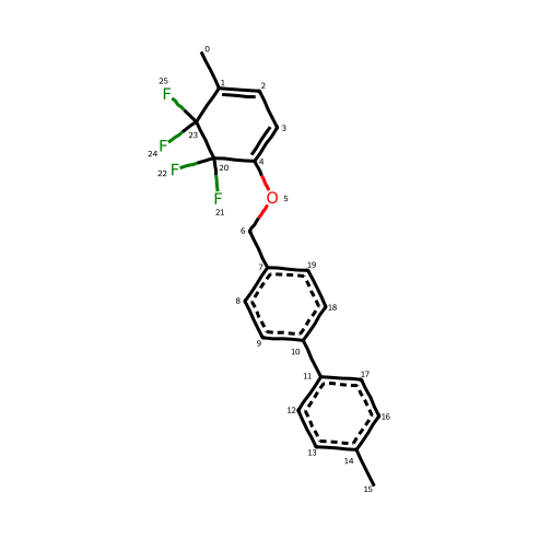 CC1=CC=C(OCc2ccc(-c3ccc(C)cc3)cc2)C(F)(F)C1(F)F